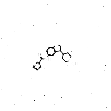 CN1CCC(C2CNc3ccc(NC(=N)c4cccs4)cc32)CC1